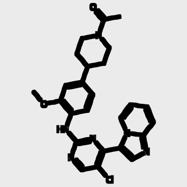 COc1cc(C2CCN(C(C)=O)CC2)ccc1Nc1ncc(Cl)c(-c2cnc3ccccn23)n1